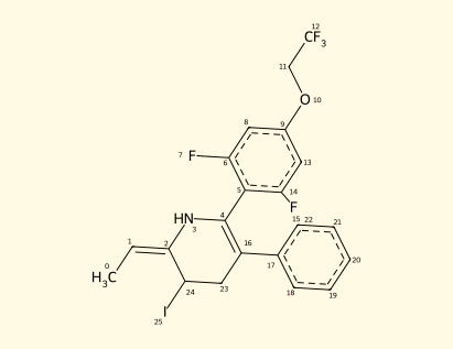 C/C=C1/NC(c2c(F)cc(OCC(F)(F)F)cc2F)=C(c2ccccc2)CC1I